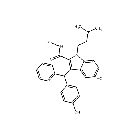 CC(C)NC(=O)c1c(C(c2ccccc2)c2ccc(O)cc2)c2ccccc2n1CCN(C)C.Cl